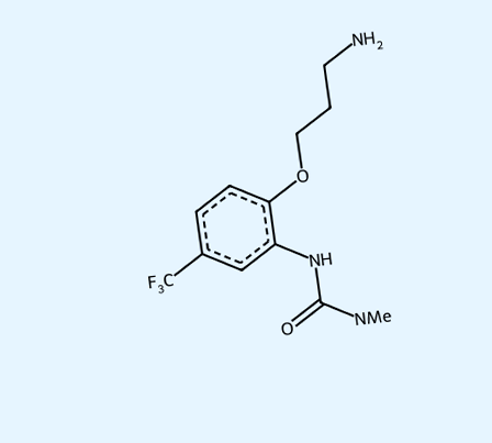 CNC(=O)Nc1cc(C(F)(F)F)ccc1OCCCN